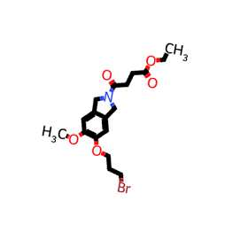 CCOC(=O)CCC(=O)N1Cc2cc(OC)c(OCCCBr)cc2C1